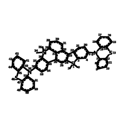 C[Si]1(C)c2cc(N3c4ccccc4Sc4ccccc43)ccc2-c2c1cc1c3c(cccc23)[Si](C)(C)c2cc(N3c4ccccc4Sc4ccccc43)ccc2-1